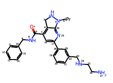 CC(C)N1NCc2c(C(=O)NCc3ccccc3)cc(-c3cccc(CNCCN)c3)nc21